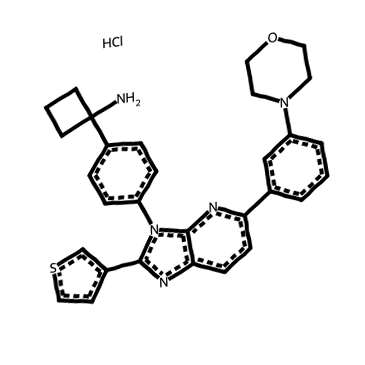 Cl.NC1(c2ccc(-n3c(-c4ccsc4)nc4ccc(-c5cccc(N6CCOCC6)c5)nc43)cc2)CCC1